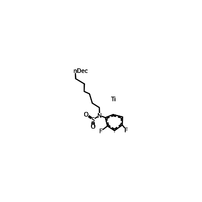 CCCCCCCCCCCCCCCCN(c1ccc(F)[c]c1F)[SH](=O)=O.[Ti]